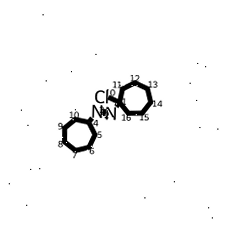 ClC1(N=NC2CCCCCC2)CCCCCC1